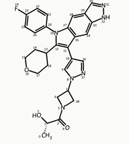 C[C@H](O)C(=O)N1CC(n2cc(-c3c(C4CCOCC4)n(-c4ccc(F)cc4)c4cc5cn[nH]c5cc34)cn2)C1